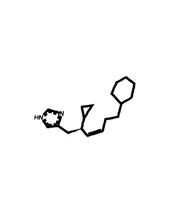 C(=C/[C@@H](Cc1c[nH]cn1)C1CC1)/CCC1CCCCC1